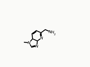 CN1C=NC2N=C(CN)C=CC21